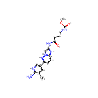 CC(C)(C)OC(=O)NCCCC(=O)Nc1cn2nc(-c3cnc(N)c(C(F)(F)F)c3)ccc2n1